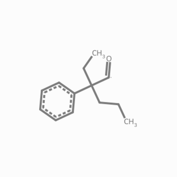 CCCC([C]=O)(CC)c1ccccc1